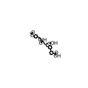 CC(=O)Oc1ccc(CONC(=O)CCC(COCO)Cc2cccc(-c3cccc(C(=O)O)c3)c2)cc1